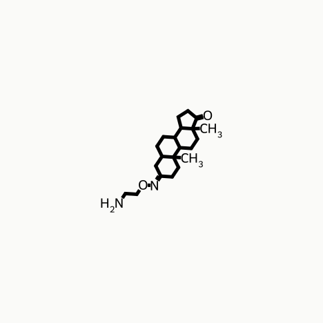 CC12CCC3C(CCC4CC(=NOCCN)CCC43C)C1CCC2=O